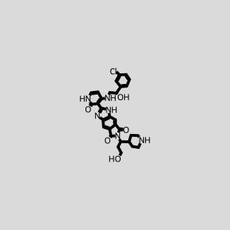 O=C1c2cc3nc(-c4c(NCC(O)c5cccc(Cl)c5)cc[nH]c4=O)[nH]c3cc2C(=O)N1C(CCO)C1CCNCC1